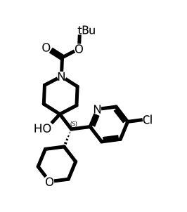 CC(C)(C)OC(=O)N1CCC(O)([C@H](c2ccc(Cl)cn2)C2CCOCC2)CC1